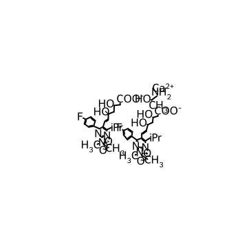 CC(C)c1nc(N(C)S(C)(=O)=O)nc(-c2ccc(F)cc2)c1C=C[C@@H](O)C[C@@H](O)CC(=O)[O-].CC(C)c1nc(N(C)S(C)(=O)=O)nc(-c2ccc(F)cc2)c1C=C[C@@H](O)C[C@@H](O)CC(=O)[O-].CC(O)CN.[Ca+2]